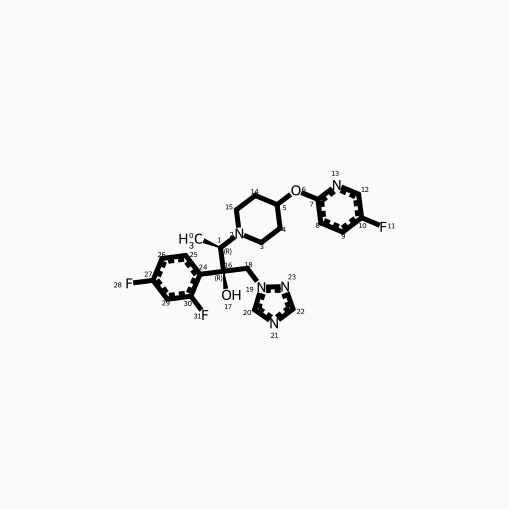 C[C@@H](N1CCC(Oc2ccc(F)cn2)CC1)[C@](O)(Cn1cncn1)c1ccc(F)cc1F